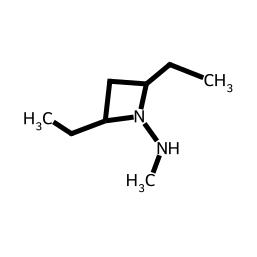 CCC1CC(CC)N1NC